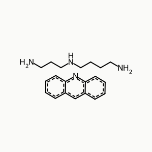 NCCCCNCCCN.c1ccc2nc3ccccc3cc2c1